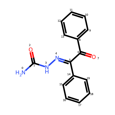 NC(=O)NN=C(C(=O)c1ccccc1)c1ccccc1